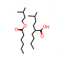 CCCCC(CCC(C)C)C(=O)O.CCCCCC(=O)OCCC(C)C